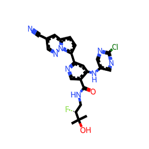 CC(C)(O)[C@H](F)CNC(=O)c1cnc(-c2ccc3cc(C#N)cnn23)cc1Nc1cnc(Cl)nc1